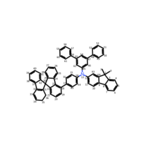 CC1(C)c2ccccc2-c2ccc(N(c3ccc(-c4cccc5c4-c4ccccc4C54C5=C(C=CCC5)c5ccccc54)cc3)c3cc(-c4ccccc4)cc(-c4ccccc4)c3)cc21